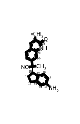 Cc1cc2ccc(C(C)(C#N)[C@@H]3CCc4cc(N)ccc43)cc2[nH]c1=O